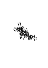 CCN(CC)CCC(=O)N(C)c1ccc(N/C(=C2\C(=O)Nc3cc(Cl)ccc32)c2ccccc2)cc1